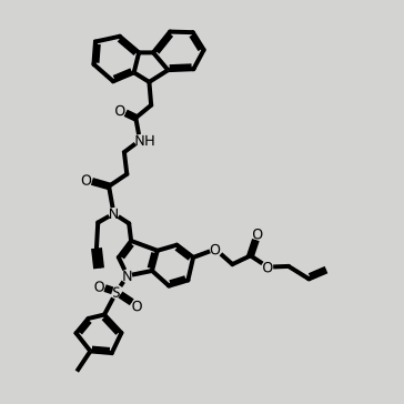 C#CCN(Cc1cn(S(=O)(=O)c2ccc(C)cc2)c2ccc(OCC(=O)OCC=C)cc12)C(=O)CCNC(=O)CC1c2ccccc2-c2ccccc21